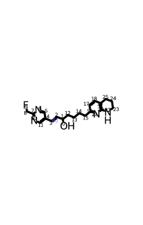 OC(/C=C/c1cnc(CF)nc1)CCCCc1ccc2c(n1)NCCC2